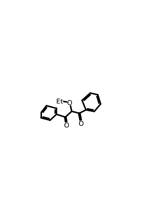 CCOC(C(=O)c1ccccc1)C(=O)c1ccccc1